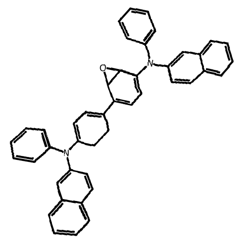 C1=C(C2=CC=C(N(c3ccccc3)c3ccc4ccccc4c3)C3OC23)CCC(N(c2ccccc2)c2ccc3ccccc3c2)=C1